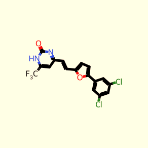 O=c1nc(C=Cc2ccc(-c3cc(Cl)cc(Cl)c3)o2)cc(C(F)(F)F)[nH]1